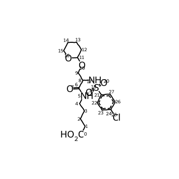 O=C(O)CCCCNC(=O)C(COC1CCCCO1)NS(=O)(=O)c1ccc(Cl)cc1